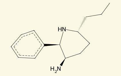 CCC[C@@H]1CC[C@@H](N)[C@@H](c2ccccc2)N1